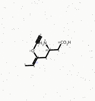 C#CO/C(=C\C)C[C@@H](N)CC(=O)O